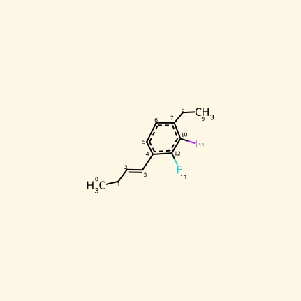 CCC=Cc1ccc(CC)c(I)c1F